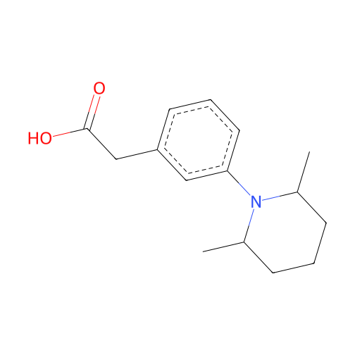 CC1CCCC(C)N1c1cccc(CC(=O)O)c1